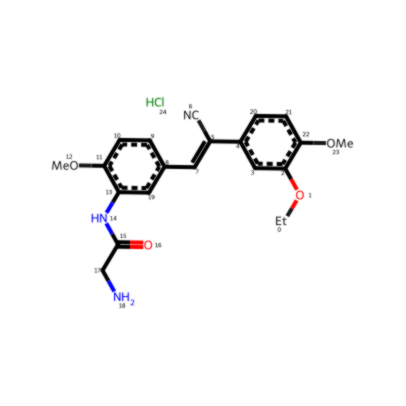 CCOc1cc(/C(C#N)=C/c2ccc(OC)c(NC(=O)CN)c2)ccc1OC.Cl